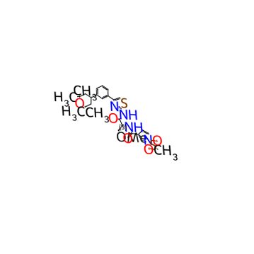 COC[C@H](NC(=O)c1ccn(S(C)(=O)=O)c1)C(=O)Nc1nc(-c2cccc(C3CC(C)(C)OC(C)(C)C3)c2)cs1